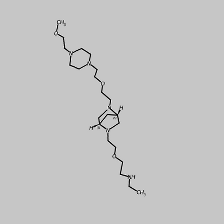 CCNCCOCCN1C[C@@H]2C[C@H]1CN2CCOCCN1CCN(CCOC)CC1